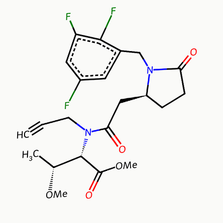 C#CCN(C(=O)C[C@@H]1CCC(=O)N1Cc1cc(F)cc(F)c1F)[C@H](C(=O)OC)[C@@H](C)OC